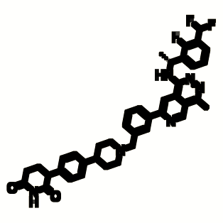 Cc1nnc(N[C@H](C)c2cccc(C(F)F)c2F)c2cc(-c3cccc(CN4CCC(c5ccc(C6CCC(=O)NC6=O)cc5)CC4)c3)ncc12